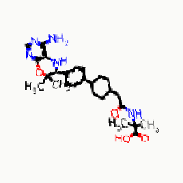 CC(C)(NC(=O)CC1CCC(c2ccc(C3Nc4c(N)ncnc4OC3(C)C)cc2)CC1)C(=O)O